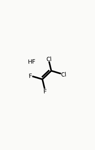 F.FC(F)=C(Cl)Cl